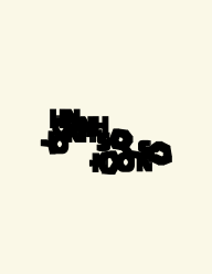 CN1CCC(OC(c2cccc(SCCNC(=N)NC(=O)OC(C)(C)C)c2)c2nc3ccccc3s2)CC1